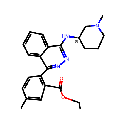 CCOC(=O)c1cc(C)ccc1-c1nnc(N[C@@H]2CCCN(C)C2)c2ccccc12